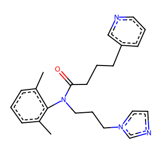 Cc1cccc(C)c1N(CCCn1ccnc1)C(=O)CCCc1cccnc1